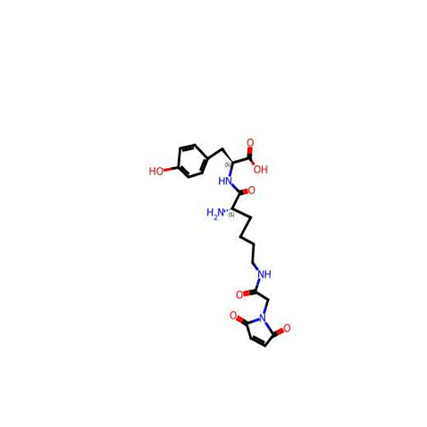 N[C@@H](CCCCNC(=O)CN1C(=O)C=CC1=O)C(=O)N[C@@H](Cc1ccc(O)cc1)C(=O)O